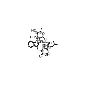 CC(C)C[C@H](NP(=O)(O)OC1O[C@H](C)[C@@H](O)[C@H](O)[C@@H]1O)C(=O)N[C@@H](Cc1c[nH]c2ccccc12)C(=O)O